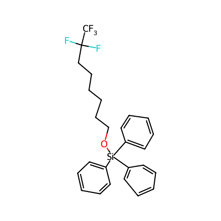 FC(F)(F)C(F)(F)CCCCCCO[Si](c1ccccc1)(c1ccccc1)c1ccccc1